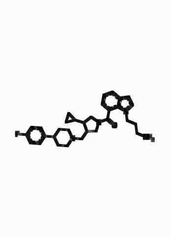 NCCCn1ccc2cccc(C(=O)N3CC(CN4CCC(c5ccc(F)cc5)CC4)C(C4CC4)C3)c21